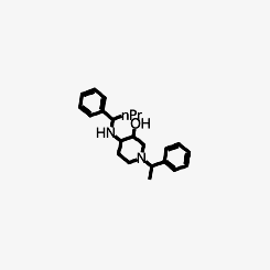 CCCC(NC1CCN(C(C)c2ccccc2)CC1O)c1ccccc1